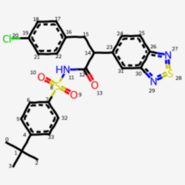 CC(C)(C)c1ccc(S(=O)(=O)NC(=O)C(Cc2ccc(Cl)cc2)c2ccc3nsnc3c2)cc1